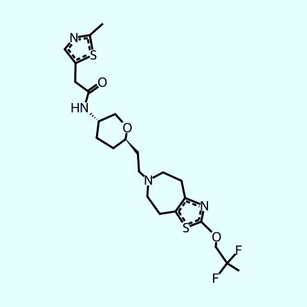 Cc1ncc(CC(=O)N[C@H]2CC[C@H](CCN3CCc4nc(OCC(C)(F)F)sc4CC3)OC2)s1